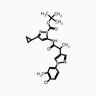 Cc1cc(-n2cc(C(C)C(=O)Nc3cc(C4CC4)nn3C(=O)OC(C)(C)C)cn2)ccc1Cl